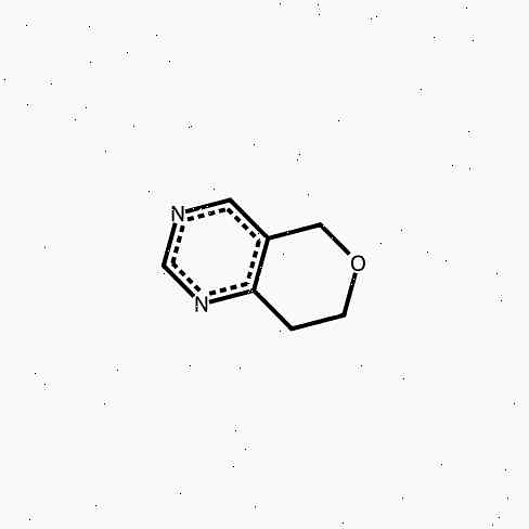 c1ncc2c(n1)CCOC2